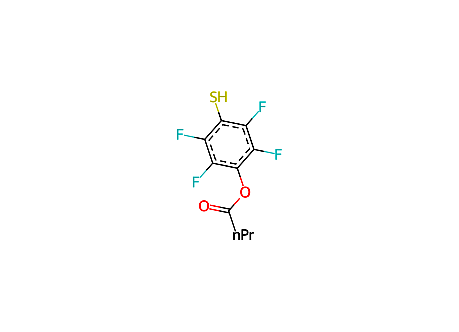 CCCC(=O)Oc1c(F)c(F)c(S)c(F)c1F